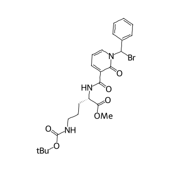 COC(=O)[C@H](CCCNC(=O)OC(C)(C)C)NC(=O)c1cccn(C(Br)c2ccccc2)c1=O